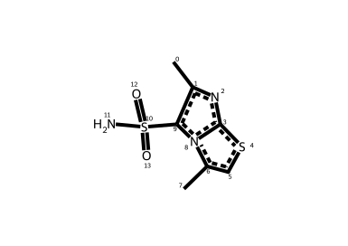 Cc1nc2scc(C)n2c1S(N)(=O)=O